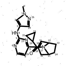 Cn1cc(Nc2nccc(C3=CC4CCC(C3)N4C(=O)C3CC3)n2)cn1